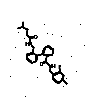 Cc1ccc(CNC(=O)c2ccccc2-c2ccccc2CNC(=O)CCC(C)C)c(F)c1